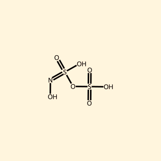 O=S(=O)(O)OS(=O)(O)=NO